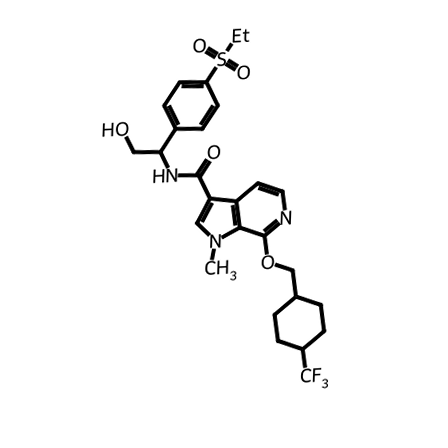 CCS(=O)(=O)c1ccc(C(CO)NC(=O)c2cn(C)c3c(OCC4CCC(C(F)(F)F)CC4)nccc23)cc1